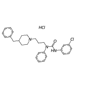 Cl.O=C(Nc1cccc(Cl)c1)N(CCCN1CCC(Cc2ccccc2)CC1)c1ccccc1